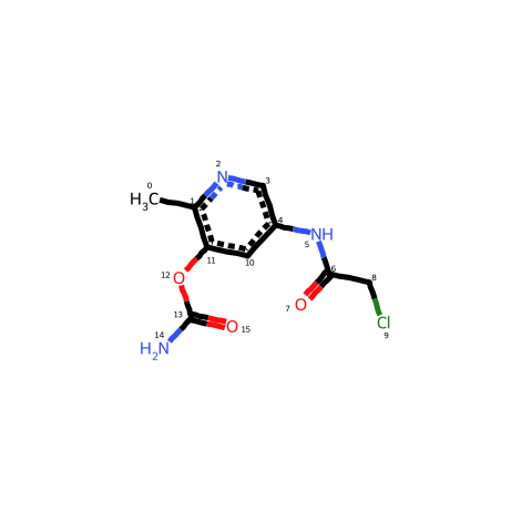 Cc1ncc(NC(=O)CCl)cc1OC(N)=O